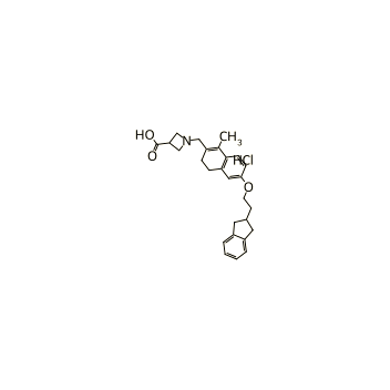 CC1=C(CN2CC(C(=O)O)C2)CCc2cc(OCCC3Cc4ccccc4C3)ccc21.Cl